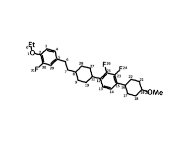 CCOc1ccc(CCC2CCC(c3ccc(C4CCC(OC)CC4)c(F)c3F)CC2)cc1F